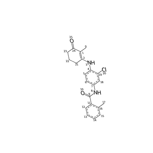 CC1=C(Nc2ccc(NC(=O)c3ccccc3C)cc2Cl)CCCC1=O